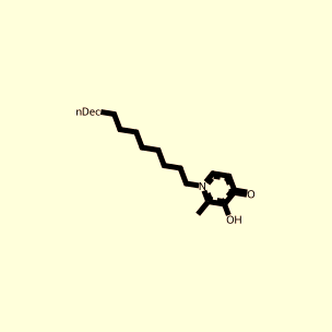 CCCCCCCCCCCCCCCCCCn1ccc(=O)c(O)c1C